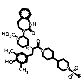 Cc1cc(CC(C(=O)N2CCC(C3CCN(S(=O)(=O)C(C)C)CC3)CC2)[C@@H]2CCN(C(=O)O)C(N3CCc4ccccc4NC3=O)C2)cc(C)c1O